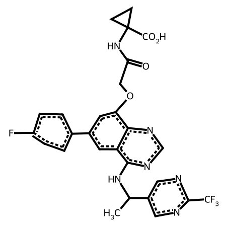 CC(Nc1ncnc2c(OCC(=O)NC3(C(=O)O)CC3)cc(-c3ccc(F)cc3)cc12)c1cnc(C(F)(F)F)nc1